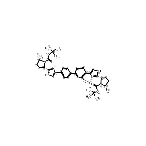 Cc1cc(-c2ccc(-c3c[nH]c([C@@H]4CC[C@H](C)N4C(=O)OC(C)(C)C)n3)cc2)ccc1-c1c[nH]c([C@@H]2CC[C@H](C)N2C(=O)OC(C)(C)C)n1